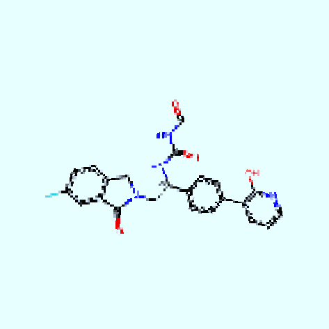 O=CNC(=O)N[C@@H](CN1Cc2ccc(F)cc2C1=O)c1ccc(-c2cccnc2O)cc1